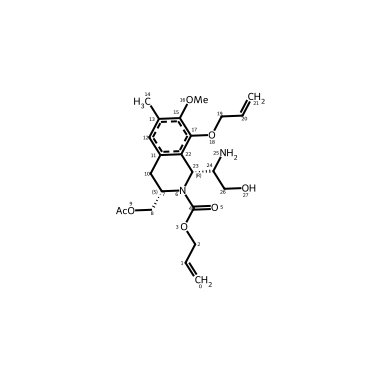 C=CCOC(=O)N1[C@H](COC(C)=O)Cc2cc(C)c(OC)c(OCC=C)c2[C@@H]1C(N)CO